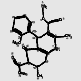 CCCOC(=O)C1=C(C)NC2=C(C(=O)C(C(=O)OC)C(C)C2)C1c1ccccc1OC